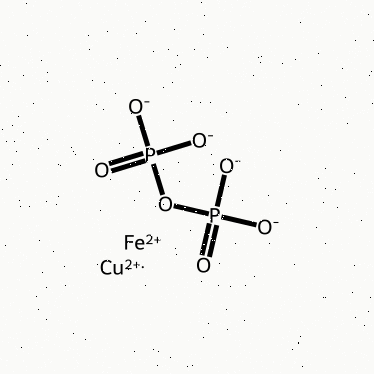 O=P([O-])([O-])OP(=O)([O-])[O-].[Cu+2].[Fe+2]